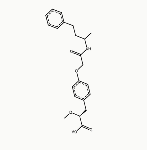 CO[C@@H](Cc1ccc(OCC(=O)NC(C)CCc2ccccc2)cc1)C(=O)O